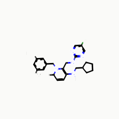 CCN(CC1CCCC1)C1=C(CNc2ncc(Br)cn2)N(Cc2cc(C(F)(F)F)cc(C(F)(F)F)c2)C(OC)C=C1